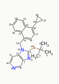 CC(C)(C)Sc1nc2cnccc2n1Cc1ccc(C2CC2)c2ccccc12